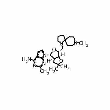 Cc1nc(N)c2ccn([C@@H]3O[C@H](CN4CCCC45CCN(C)CC5)[C@H]4OC(C)(C)C[C@H]43)c2n1